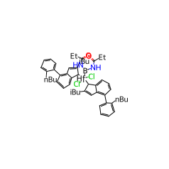 CCCCc1ccccc1-c1cccc2c1C=C(C(C)CC)[CH]2[Hf]([Cl])([Cl])([B](NC(=O)CC)NC(=O)CC)[CH]1C(C(C)CC)=Cc2c(-c3ccccc3CCCC)cccc21